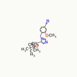 COc1cc(C#N)ccc1Cn1cncc1CO[Si](C)(C)C(C)(C)C